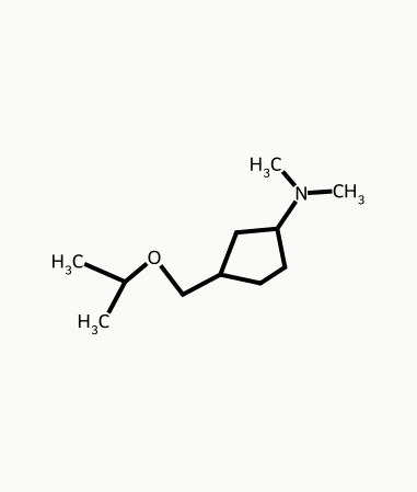 CC(C)OCC1CCC(N(C)C)C1